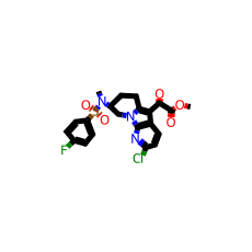 COC(=O)C(=O)c1c2n(c3nc(Cl)ccc13)CC(N(C)S(=O)(=O)c1ccc(F)cc1)CC2